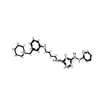 c1ccc(SNc2nnc(NCCCCOc3cccc(CN4CCCCC4)c3)s2)nc1